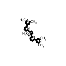 Cc1cc(-c2cccc(C3=CC=C(c4cccc(-c5cc(C)nc(C)c5)n4)[Si]3(C)C)n2)cc(C)n1